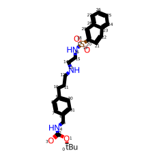 CC(C)(C)OC(=O)NCc1ccc(CCCNCCNS(=O)(=O)c2ccc3ccccc3c2)cc1